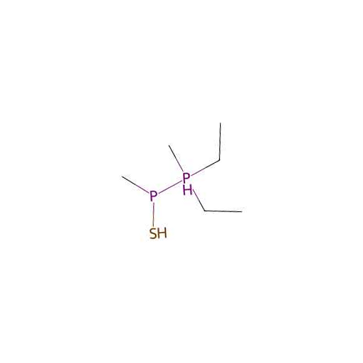 CC[PH](C)(CC)P(C)S